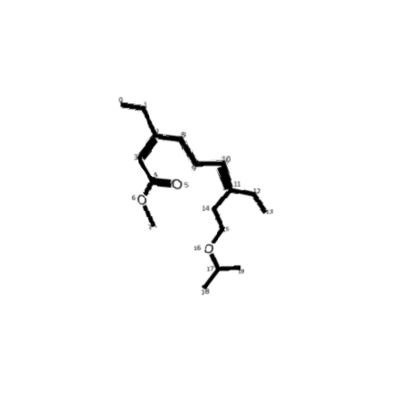 CCC(=CC(=O)OC)CCC=C(CC)CCOC(C)C